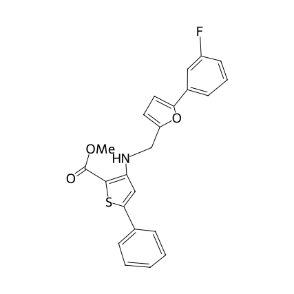 COC(=O)c1sc(-c2ccccc2)cc1NCc1ccc(-c2cccc(F)c2)o1